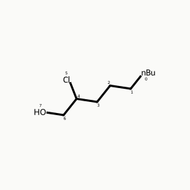 CCCCCCCC(Cl)CO